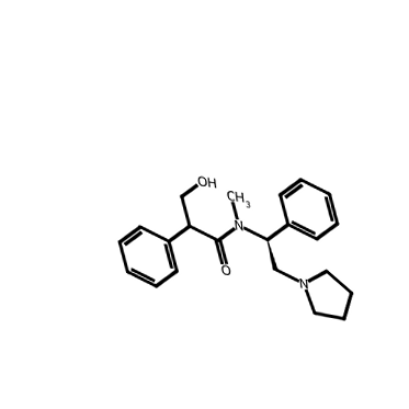 CN(C(=O)C(CO)c1ccccc1)[C@H](CN1CCCC1)c1ccccc1